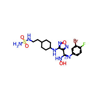 NS(=O)(=O)NCCC1CCC(Nc2nonc2/C(=N\c2ccc(F)c(Br)c2)NO)CC1